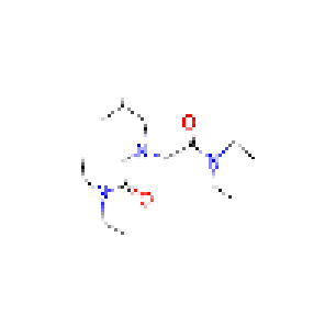 CCN(CC)C(=O)CN(CC(=O)N(CC)CC)CC(C)C